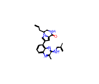 C=CCC1CNC(=O)c2cc(-c3cccc4nc(C)c(NCC(=C)C)nc34)cn21